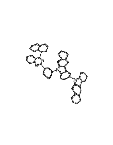 c1cc(-c2nc(-c3cccc4ccccc34)c3ccccc3n2)cc(-n2c3ccc(-n4c5ccccc5c5cc6ccccc6cc54)cc3c3cc4ccccc4cc32)c1